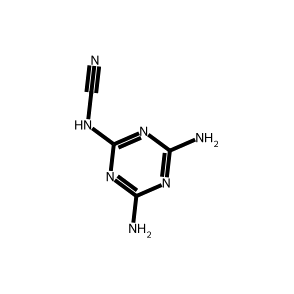 N#CNc1nc(N)nc(N)n1